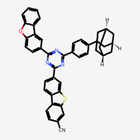 N#Cc1ccc2c(c1)sc1cc(-c3nc(-c4ccc(C56C[C@H]7C[C@H](C5)C[C@@H](C6)C7)cc4)nc(-c4ccc5oc6ccccc6c5c4)n3)ccc12